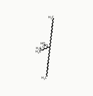 CCCCCC=CCC=CCCCCCCCCC(CCCCCCCCC=CCC=CCCCCC)C(CCCN(C)C)OC(=O)O